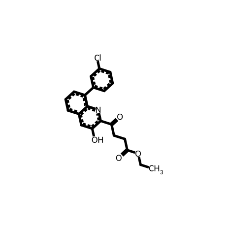 CCOC(=O)CCC(=O)c1nc2c(-c3cccc(Cl)c3)cccc2cc1O